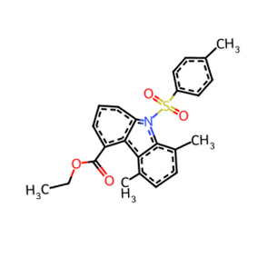 CCOC(=O)c1cccc2c1c1c(C)ccc(C)c1n2S(=O)(=O)c1ccc(C)cc1